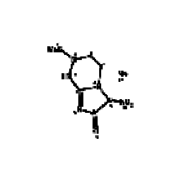 CSN1CCn2c(nc(=O)n2[N+](=O)[O-])N1.[Na]